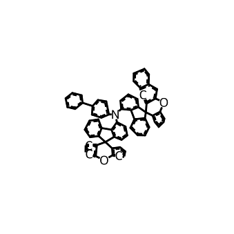 c1ccc(-c2ccc(N(c3cccc4c3-c3ccccc3C43c4ccccc4Oc4ccccc43)c3cccc4c3-c3ccccc3C43c4ccccc4Oc4cc5ccccc5cc43)cc2)cc1